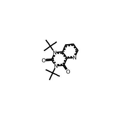 CC(C)(C)n1c(=O)c2ncccc2n(C(C)(C)C)c1=O